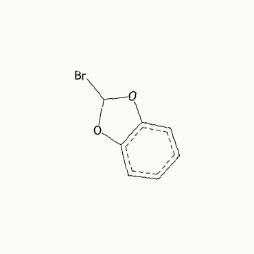 BrC1Oc2ccccc2O1